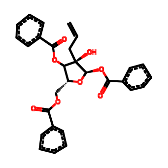 C=CC[C@@]1(O)C(OC(=O)c2ccccc2)[C@@H](COC(=O)c2ccccc2)O[C@@H]1OC(=O)c1ccccc1